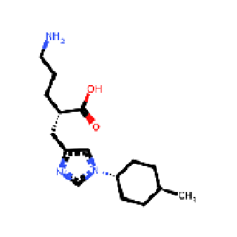 C[C@H]1CC[C@H](n2cnc(C[C@H](CCCN)C(=O)O)c2)CC1